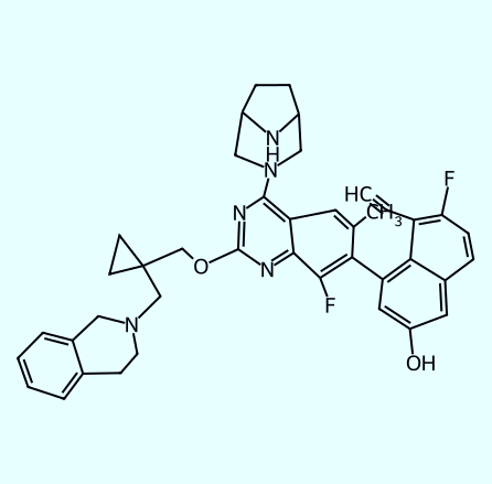 C#Cc1c(F)ccc2cc(O)cc(-c3c(C)cc4c(N5CC6CCC(C5)N6)nc(OCC5(CN6CCc7ccccc7C6)CC5)nc4c3F)c12